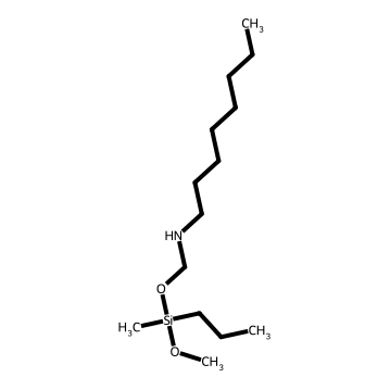 CCCCCCCCNCO[Si](C)(CCC)OC